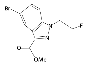 COC(=O)c1nn(CCF)c2ccc(Br)cc12